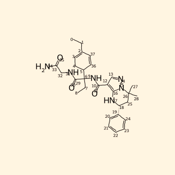 CCC1=CCC(C(CC)(NC(=O)c2cnn3c2N[C@@H](c2ccccc2)CC3(C)C)C(=O)NCC(N)=O)C=C1